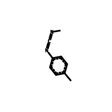 CN=C=Nc1ccc(C)cc1